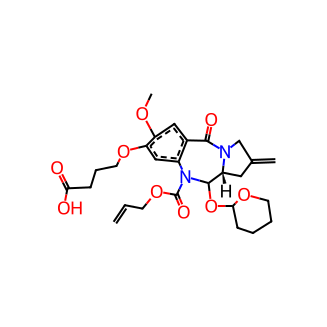 C=CCOC(=O)N1c2cc(OCCCC(=O)O)c(OC)cc2C(=O)N2CC(=C)C[C@@H]2C1OC1CCCCO1